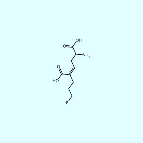 NC(CC=C(CCCF)C(=O)O)C(=O)O